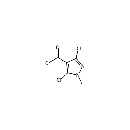 Cn1nc(Cl)c(C(=O)Cl)c1Cl